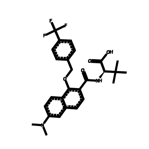 CN(C)c1ccc2c(OCc3ccc(C(F)(F)F)cc3)c(C(=O)N[C@H](C(=O)O)C(C)(C)C)ccc2c1